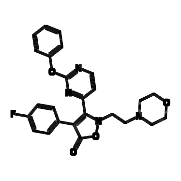 O=c1on(CCN2CCOCC2)c(-c2ccnc(Oc3ccccc3)n2)c1-c1ccc(F)cc1